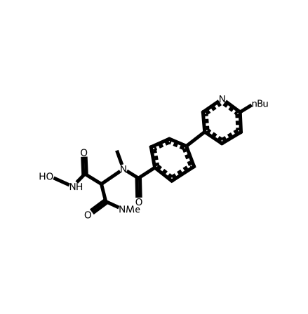 CCCCc1ccc(-c2ccc(C(=O)N(C)C(C(=O)NC)C(=O)NO)cc2)cn1